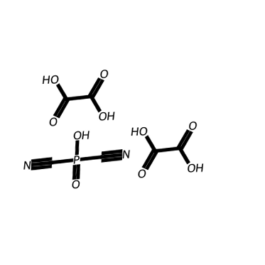 N#CP(=O)(O)C#N.O=C(O)C(=O)O.O=C(O)C(=O)O